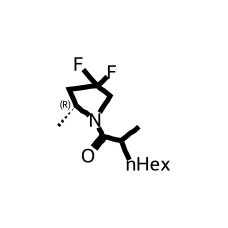 CCCCCCC(C)C(=O)N1CC(F)(F)C[C@H]1C